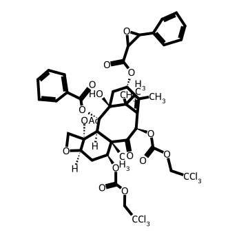 CC(=O)O[C@@]12CO[C@@H]1C[C@H](OC(=O)OCC(Cl)(Cl)Cl)[C@@]1(C)C(=O)[C@H](OC(=O)OCC(Cl)(Cl)Cl)C3=C(C)[C@@H](OC(=O)C4OC4c4ccccc4)C[C@@](O)([C@@H](OC(=O)c4ccccc4)[C@H]21)C3(C)C